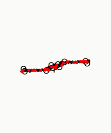 C=C(C)C(=O)OCCCCCCCCCCCCCCCOc1ccc(C(=O)Oc2ccc(OC(=O)c3ccc(OCCCCCCCCCCCCCCCOC(=O)C(=C)C)cc3)c(F)c2)cc1